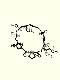 CC1=C\[C@@H](O)C[C@@H](F)Cc2nc(c[nH]2)C(=O)N2CCC[C@@H]2C(=O)O[C@H]([C@@H](C)CO)[C@H](C)/C=C/C(=O)NC\C=C\1